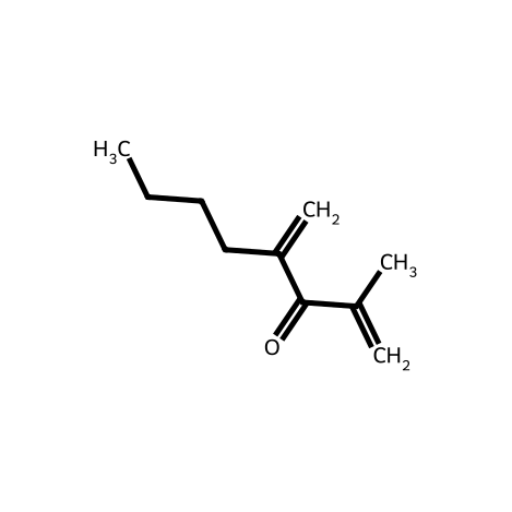 C=C(C)C(=O)C(=C)CCCC